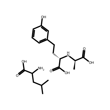 CC(C)CC(N)C(=O)O.C[C@@H](N[C@@H](CCc1cccc(O)c1)C(=O)O)C(=O)O